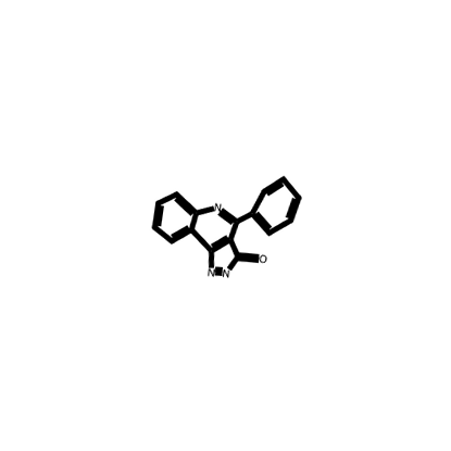 O=C1N=Nc2c1c(-c1ccccc1)nc1ccccc21